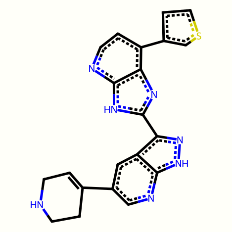 C1=C(c2cnc3[nH]nc(-c4nc5c(-c6ccsc6)ccnc5[nH]4)c3c2)CCNC1